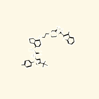 Cc1ccc(-n2nc(C(C)(C)C)cc2NC(=O)Nc2ccc(OCCN3CCn4c(nnc4-c4oc5ccccc5c4C)C3)c3c2CCC3)cc1